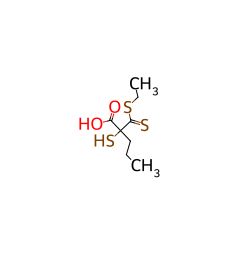 CCCC(S)(C(=O)O)C(=S)SCC